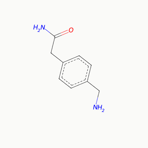 NCc1ccc(CC(N)=O)cc1